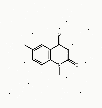 CN1C(=O)CC(=O)c2cc(I)ccc21